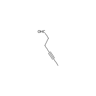 CC#CCCC=O